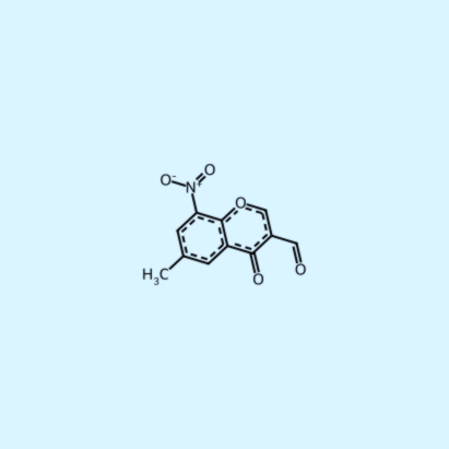 Cc1cc([N+](=O)[O-])c2occ(C=O)c(=O)c2c1